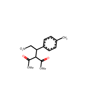 COC(=O)C(C(=O)OC)C(C[N+](=O)[O-])c1ccc(C)cc1